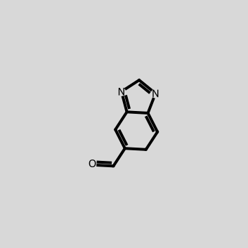 O=CC1=CC2=NC=NC2=CC1